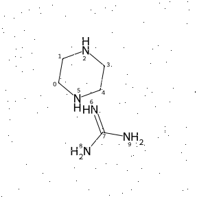 C1CNCCN1.N=C(N)N